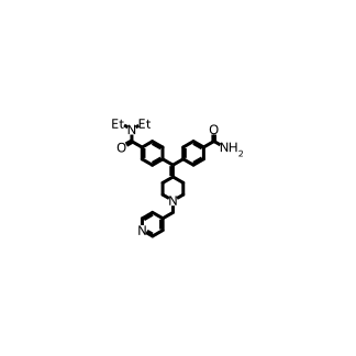 CCN(CC)C(=O)c1ccc(C(=C2CCN(Cc3ccncc3)CC2)c2ccc(C(N)=O)cc2)cc1